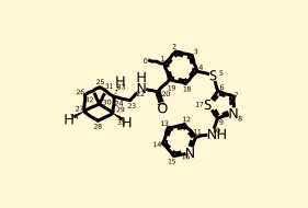 Cc1ccc(Sc2cnc(Nc3ccccn3)s2)cc1C(=O)NC[C@@H]1CC[C@H]2C[C@@H]1C2(C)C